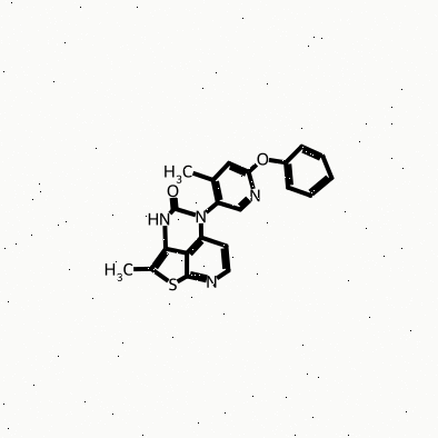 Cc1cc(Oc2ccccc2)ncc1N1C(=O)Nc2c(C)sc3nccc1c23